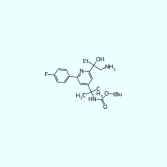 CCC(O)(CN)c1cc(C(C)(C)NC(=O)OC(C)(C)C)cc(-c2ccc(F)cc2)n1